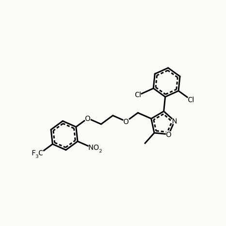 Cc1onc(-c2c(Cl)cccc2Cl)c1COCCOc1ccc(C(F)(F)F)cc1[N+](=O)[O-]